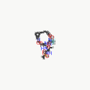 C=C[C@@H]1C[C@]1(NC(=O)[C@@H]1C[C@@H]2CN1C(=O)[C@H](CC(F)(F)F)NC(=O)OCCCC/C=C/c1cccc3c1CN(C3)C(=O)O2)C(=O)NS(=O)(=O)C1CC1